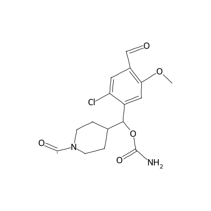 COc1cc(C(OC(N)=O)C2CCN([C]=O)CC2)c(Cl)cc1C=O